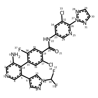 Nc1cncc(-c2cnn(C(F)F)c2)c1-c1cc(Cl)c(C(=O)Nc2cnc(-n3nccn3)c(Cl)c2)cc1F